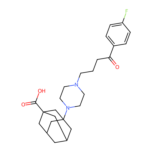 O=C(CCCN1CCN(C23CC4CC(CC(C(=O)O)(C4)C2)C3)CC1)c1ccc(F)cc1